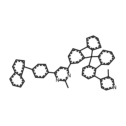 Cc1nc(-c2ccc(-c3cccc4ccccc34)cc2)cc(-c2ccc3c(c2)C2(c4ccccc4-3)c3ccccc3-c3c(-c4ccncc4C)cccc32)n1